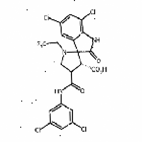 O=C(Nc1cc(Cl)cc(Cl)c1)C1CN(CC(F)(F)F)C2(C(=O)Nc3c(Cl)cc(Cl)cc32)[C@@H]1C(=O)O